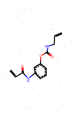 C=CCNC(=O)Oc1cccc(NC(=O)C=C)c1